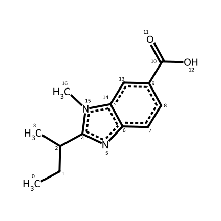 CCC(C)c1nc2ccc(C(=O)O)cc2n1C